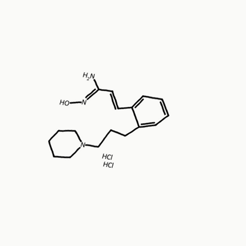 Cl.Cl.NC(C=Cc1ccccc1CCCN1CCCCC1)=NO